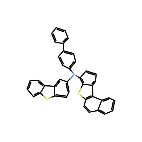 c1ccc(-c2ccc(N(c3ccc4sc5ccccc5c4c3)c3cccc4c3sc3ccc5ccccc5c34)cc2)cc1